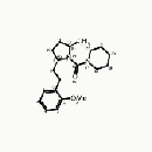 COc1ccccc1CC[C@H]1CC[C@@H](C)N1C(=O)N1CCCCC1